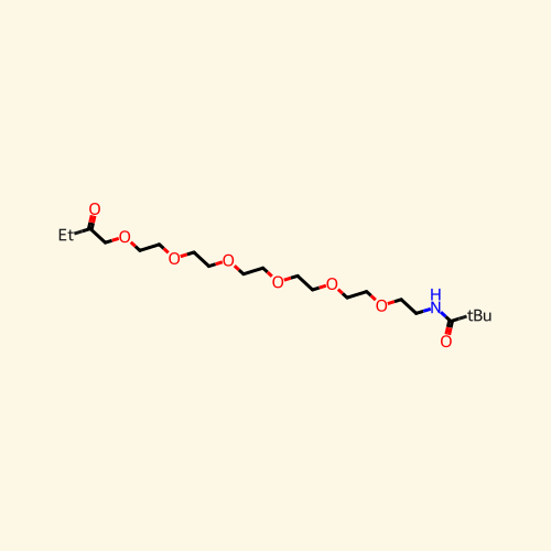 CCC(=O)COCCOCCOCCOCCOCCOCCNC(=O)C(C)(C)C